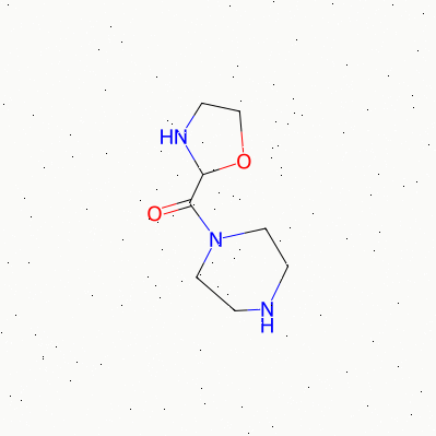 O=C(C1NCCO1)N1CCNCC1